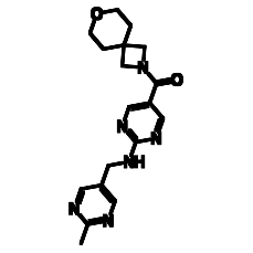 Cc1ncc(CNc2ncc(C(=O)N3CC4(CCOCC4)C3)cn2)cn1